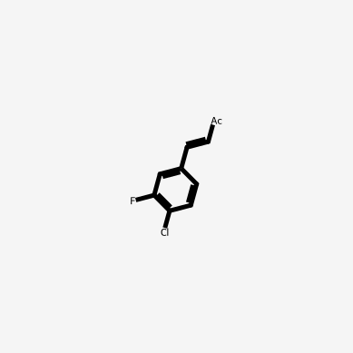 CC(=O)C=Cc1ccc(Cl)c(F)c1